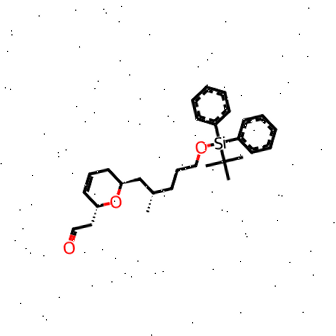 C[C@@H](CCCO[Si](c1ccccc1)(c1ccccc1)C(C)(C)C)C[C@@H]1CC=C[C@@H](CC=O)O1